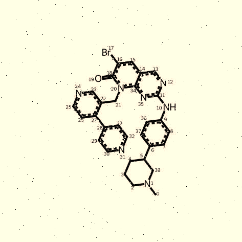 CN1CCCC(c2ccc(Nc3ncc4cc(Br)c(=O)n(Cc5cnccc5-c5ccncc5)c4n3)cc2)C1